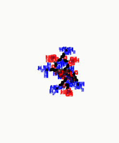 N=C(N)NCCC[C@H](NC(=O)[C@H](COP(=O)(O)O)NC(=O)[C@H](CCCNC(=N)N)NC(=O)[C@H](COP(=O)(O)O)NC(=O)[C@H](CCCNC(=N)N)NC(=O)[C@H](COP(=O)(O)O)NC(=O)[C@H](CCCNC(=N)N)NC(=O)[C@H](COP(=O)(O)O)NC(=O)[C@H](CCCNC(=N)N)NC(=O)[C@@H](N)COP(=O)(O)O)C(=O)O